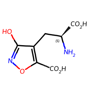 N[C@@H](Cc1c(O)noc1C(=O)O)C(=O)O